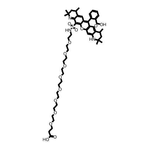 CC1CC(C)(C)Nc2cc3c(cc21)C(c1ccccc1C(=O)O)=c1cc2c(c(S(=O)(=O)NCCOCCOCCOCCOCCOCCOCCOCCOCCC(=O)O)c1O3)=NC(C)(C)CC2C